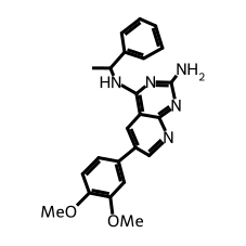 COc1ccc(-c2cnc3nc(N)nc(NC(C)c4ccccc4)c3c2)cc1OC